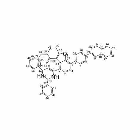 C1=C(c2ccc(-c3ccc(-c4ccc5ccccc5c4)cc3)c3oc4ccc5ccccc5c4c23)NC(c2ccccc2)NC1c1ccccc1